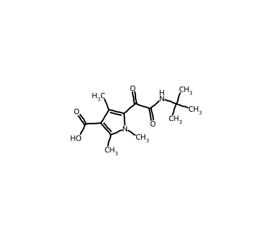 Cc1c(C(=O)O)c(C)n(C)c1C(=O)C(=O)NC(C)(C)C